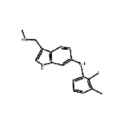 CNCc1c[nH]c2cc(Nc3cccc(C)c3F)ccc12